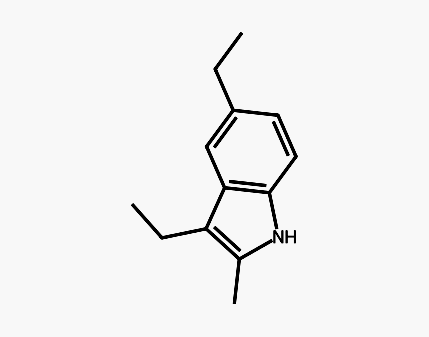 CCc1ccc2[nH]c(C)c(CC)c2c1